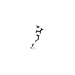 Nc1nc(N)c2[nH]c(CCOCP(=O)(O)O)nc2n1